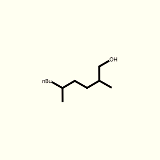 CCCCC(C)CCC(C)CO